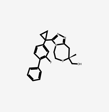 C[C@]1(CO)Cc2nnc(C3(c4ccc(-c5ccccc5)c(F)c4)CC3)n2CCS1